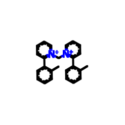 Cc1ccccc1-c1cccc[n+]1C[n+]1ccccc1-c1ccccc1C